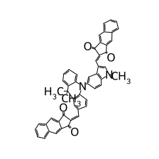 Cn1cc(C=C2C(=O)c3cc4ccccc4cc3C2=O)c2cc(N3c4ccccc4C(C)(C)c4cc(C=C5C(=O)c6cc7ccccc7cc6C5=O)ccc43)ccc21